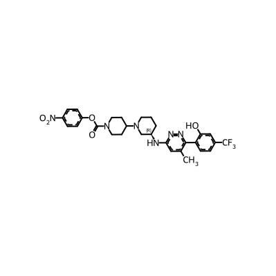 Cc1cc(N[C@@H]2CCCN(C3CCN(C(=O)Oc4ccc([N+](=O)[O-])cc4)CC3)C2)nnc1-c1ccc(C(F)(F)F)cc1O